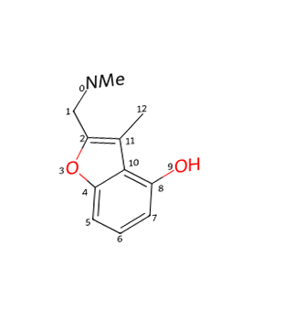 CNCc1oc2cccc(O)c2c1C